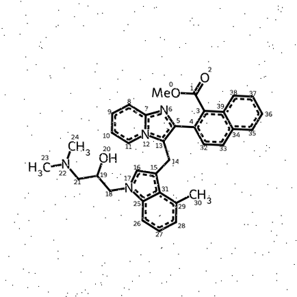 COC(=O)c1c(-c2nc3ccccn3c2Cc2cn(CC(O)CN(C)C)c3cccc(C)c23)ccc2ccccc12